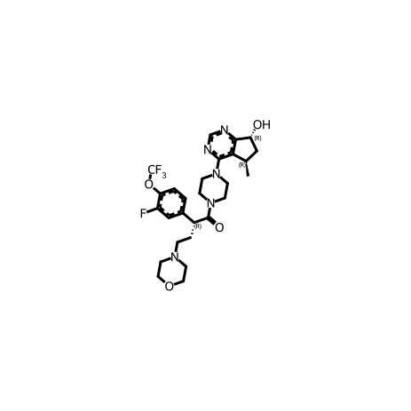 C[C@@H]1C[C@@H](O)c2ncnc(N3CCN(C(=O)[C@H](CCN4CCOCC4)c4ccc(OC(F)(F)F)c(F)c4)CC3)c21